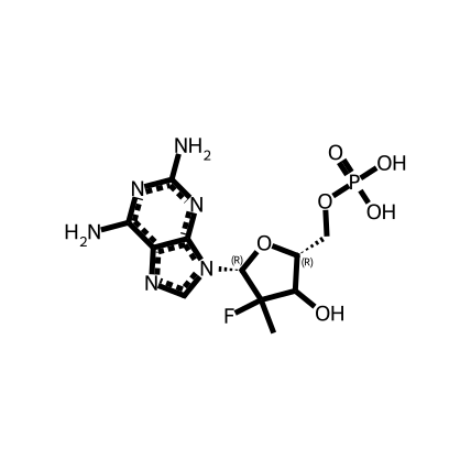 CC1(F)C(O)[C@@H](COP(=O)(O)O)O[C@H]1n1cnc2c(N)nc(N)nc21